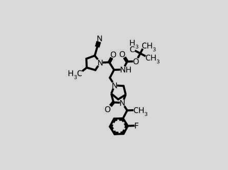 CC1CC(C#N)N(C(=O)C(CN2CC3CC2C(=O)N3C(C)c2ccccc2F)NC(=O)OC(C)(C)C)C1